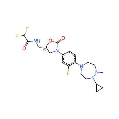 CN1CCN(c2ccc(N3C[C@H](CNC(=O)C(F)F)OC3=O)cc2F)CCN1C1CC1